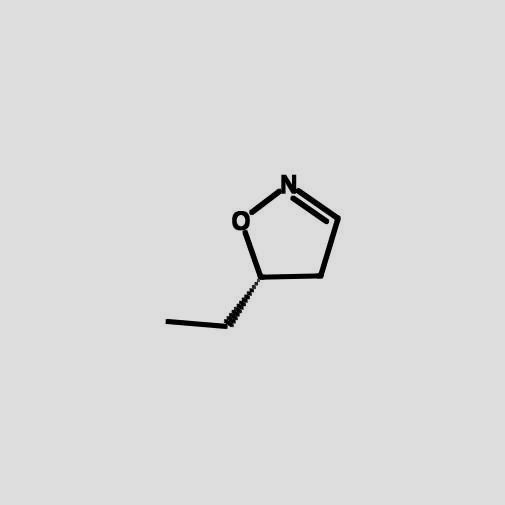 CC[C@H]1CC=NO1